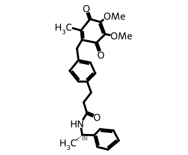 COC1=C(OC)C(=O)C(Cc2ccc(CCC(=O)N[C@@H](C)c3ccccc3)cc2)=C(C)C1=O